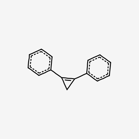 c1ccc(C2=C(c3ccccc3)C2)cc1